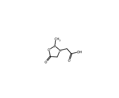 CB1OC(=O)CN1CC(=O)O